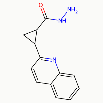 NNC(=O)C1CC1c1ccc2ccccc2n1